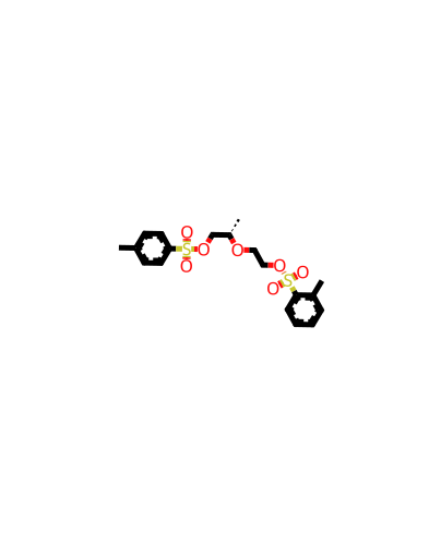 Cc1ccc(S(=O)(=O)OC[C@H](C)OCCOS(=O)(=O)c2ccccc2C)cc1